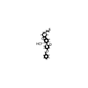 Cl.O=c1cc(OCc2ccccc2)ccn1-c1ccc2c3c(oc2c1)CCN(CCF)C3